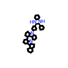 c1ccc(C2Nc3ccccc3NC2c2ccc(-n3c4cccc5c6cccc7c8c9ccccc9ccc8n(c8cccc3c8c54)c67)cc2)cc1